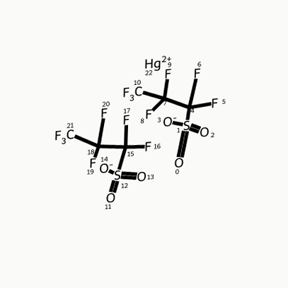 O=S(=O)([O-])C(F)(F)C(F)(F)C(F)(F)F.O=S(=O)([O-])C(F)(F)C(F)(F)C(F)(F)F.[Hg+2]